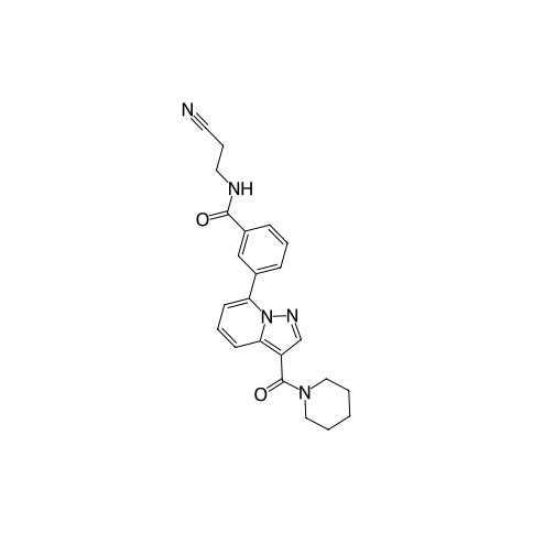 N#CCCNC(=O)c1cccc(-c2cccc3c(C(=O)N4CCCCC4)cnn23)c1